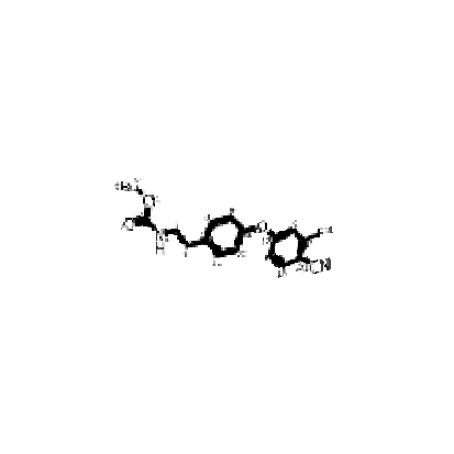 CC(C)(C)OC(=O)NCCc1ccc(Oc2ccc(C#N)c(F)c2)cc1